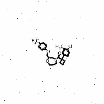 Cc1cc(C2(C(=O)N3CCCOC(COc4ccc(C(F)(F)F)cc4)C3)CCC2)ccc1Cl